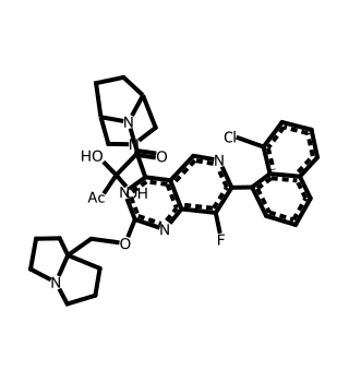 CC(=O)C(O)(O)C(=O)N1C2CCC1CN(c1nc(OCC34CCCN3CCC4)nc3c(F)c(-c4cccc5cccc(Cl)c45)ncc13)C2